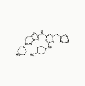 OC1CCC(Nc2nc(Cc3ccccc3)cc(Nc3nc4ccc(N5CCNCC5)nc4s3)n2)CC1